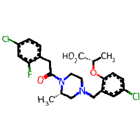 C[C@H](Oc1ccc(Cl)cc1CN1CCN(C(=O)Cc2ccc(Cl)cc2F)[C@@H](C)C1)C(=O)O